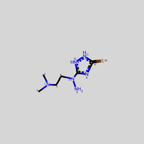 CN(C)CCN(N)c1nc(=S)[nH][nH]1